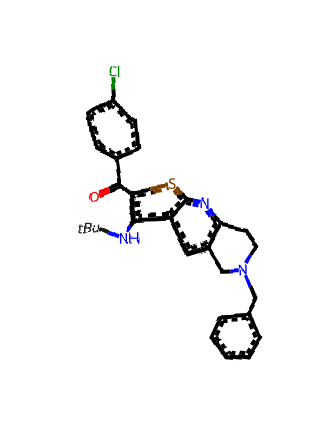 CC(C)(C)Nc1c(C(=O)c2ccc(Cl)cc2)sc2nc3c(cc12)CN(Cc1ccccc1)CC3